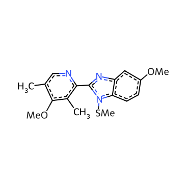 COc1ccc2c(c1)nc(-c1ncc(C)c(OC)c1C)n2SC